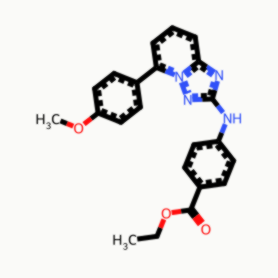 CCOC(=O)c1ccc(Nc2nc3cccc(-c4ccc(OC)cc4)n3n2)cc1